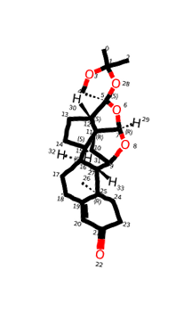 CC1(C)OC[C@@]2(O[C@H]3OC4C[C@@]35[C@@H]2CC[C@H]5[C@@H]2C[CH]C3=CC(=O)CC[C@]3(C)[C@@H]42)O1